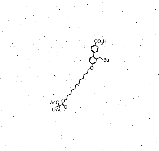 CCC(C)Cc1cc(OCCCCCCCCCCCCOC(=O)C(C)(OC(C)=O)OC(C)=O)ccc1-c1ccc(C(=O)O)cc1